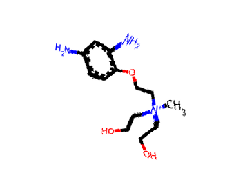 C[N+](CCO)(CCO)CCOc1ccc(N)cc1N